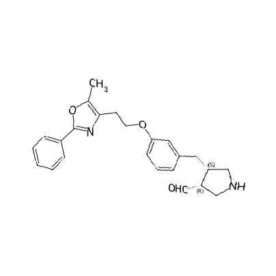 Cc1oc(-c2ccccc2)nc1CCOc1cccc(C[C@@H]2CNC[C@@H]2C=O)c1